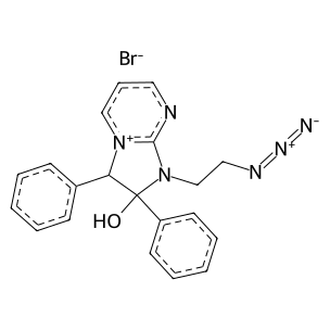 [Br-].[N-]=[N+]=NCCN1c2nccc[n+]2C(c2ccccc2)C1(O)c1ccccc1